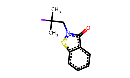 CC(C)(I)Cn1sc2ccccc2c1=O